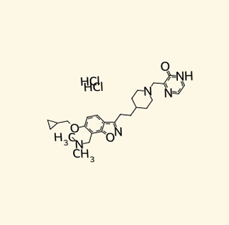 CN(C)Cc1c(OCC2CC2)ccc2c(CCC3CCN(Cc4ncc[nH]c4=O)CC3)noc12.Cl.Cl